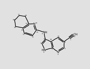 C#Cc1cnc2[nH]cc(Nc3ccc4c(n3)CCCC4)c2c1